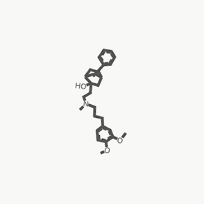 COc1ccc(CCCN(C)CCC2(O)CC3CCC2C=C3c2ccccc2)cc1OC